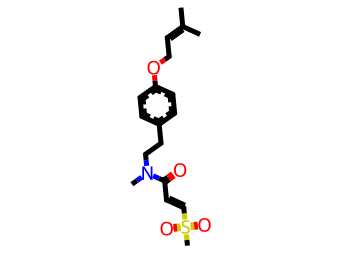 CC(C)=CCOc1ccc(CCN(C)C(=O)/C=C/S(C)(=O)=O)cc1